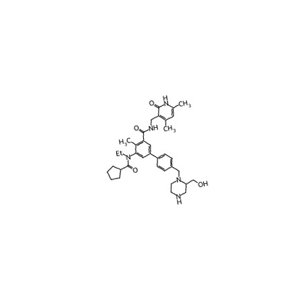 CCN(C(=O)C1CCCC1)c1cc(-c2ccc(CN3CCNCC3CO)cc2)cc(C(=O)NCc2c(C)cc(C)[nH]c2=O)c1C